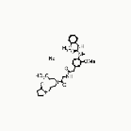 COc1cc(CC(=O)NCC(=O)N(CCCN2CCCC2=O)CCC(=O)O)ccc1NC(=O)Nc1ccccc1C.[Na]